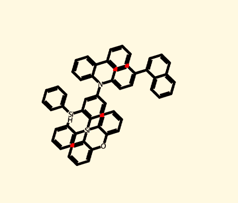 c1ccc(-c2ccccc2N(c2ccc(-c3cccc4ccccc34)cc2)c2ccc3c(c2)[SiH](c2ccccc2)c2ccccc2[Si]32c3ccccc3Oc3ccccc32)cc1